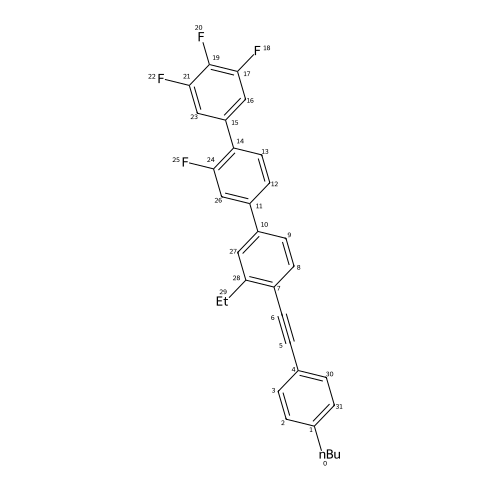 CCCCc1ccc(C#Cc2ccc(-c3ccc(-c4cc(F)c(F)c(F)c4)c(F)c3)cc2CC)cc1